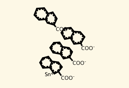 O=C([O-])c1ccc2ccccc2c1.O=C([O-])c1ccc2ccccc2c1.O=C([O-])c1ccc2ccccc2c1.O=C([O-])c1ccc2ccccc2c1.[Sn+4]